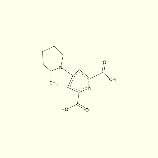 CC1CCCCN1c1cc(C(=O)O)nc(C(=O)O)c1